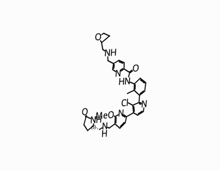 COc1nc(-c2ccnc(-c3cccc(NC(=O)c4ccc(CNCC5CCO5)cn4)c3C)c2Cl)ccc1CNC[C@@H]1CCC(=O)N1